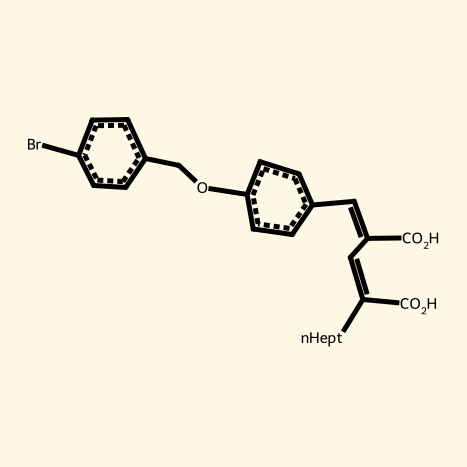 CCCCCCCC(=CC(=Cc1ccc(OCc2ccc(Br)cc2)cc1)C(=O)O)C(=O)O